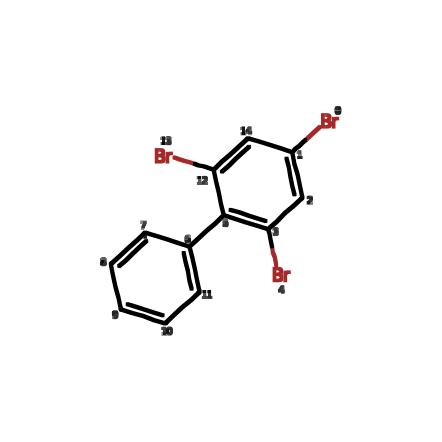 Brc1cc(Br)c(-c2[c]cccc2)c(Br)c1